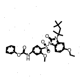 CCOc1ccc2c(c1)n(C(C)(C)CC(C)(C)C)c(=O)n2S(=O)(=O)c1ccc(NC(=O)Oc2ccccc2)cc1OC